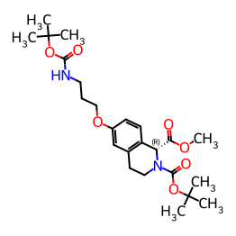 COC(=O)[C@H]1c2ccc(OCCCNC(=O)OC(C)(C)C)cc2CCN1C(=O)OC(C)(C)C